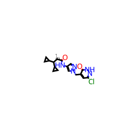 C[C@H](C(=O)Nc1cnn(Cc2cc(Cl)n[nH]c2=O)c1)C(C1CC1)C1CC1